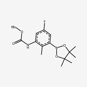 Cc1c(NC(=O)OC(C)(C)C)cc(F)cc1B1OC(C)(C)C(C)(C)O1